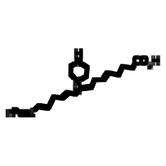 C1CNCCN1.CCCCCC=CCC=CCC=CCC=CCCCC(=O)O